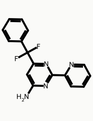 Nc1cc(C(F)(F)c2ccccc2)nc(-c2ccccn2)n1